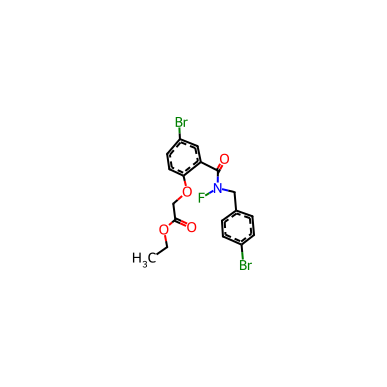 CCOC(=O)COc1ccc(Br)cc1C(=O)N(F)Cc1ccc(Br)cc1